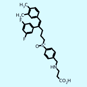 Cc1ccc(C=C(CCC[S+]([O-])c2ccc(CNCCC(=O)O)cc2)c2cc(F)cc(F)c2)cc1C